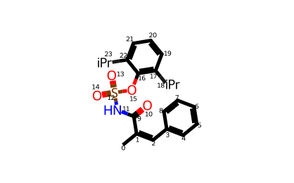 CC(=Cc1ccccc1)C(=O)NS(=O)(=O)Oc1c(C(C)C)cccc1C(C)C